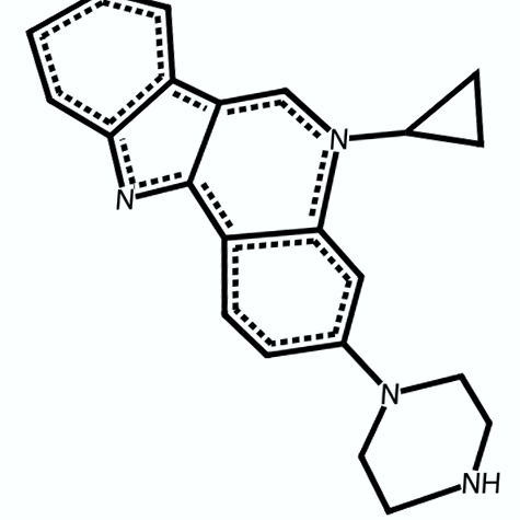 c1ccc2c3cn(C4CC4)c4cc(N5CCNCC5)ccc4c-3nc2c1